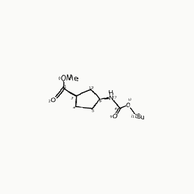 COC(=O)C1CC[C@H](NC(=O)OC(C)(C)C)C1